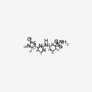 Cc1c(-c2ccnc(Nc3cccc(S(N)(=O)=O)c3)n2)sc(=O)n1C